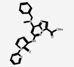 COC(=O)c1cnc2c(N(C)Cc3ccccc3)cc(Nc3cccn(-c4ccccn4)c3=O)nn12